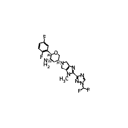 Cn1c(-c2ncn(C(F)F)n2)nc2c1CN([C@H]1CO[C@H](c3cc(F)ccc3F)[C@@H](N)C1)C2